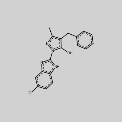 Cc1nn(-c2nc3cc(Cl)ccc3[nH]2)c(O)c1Cc1ccccc1